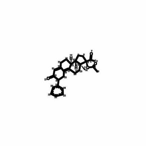 CC(=O)O[C@]1(C(C)=O)CC[C@H]2[C@@H]3CCC4=CC(=O)C(c5ccccc5)CC4=C3CC[C@@]21C